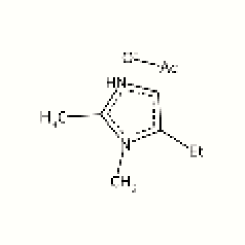 CC(=O)[O-].CCc1c[nH]c(C)[n+]1C